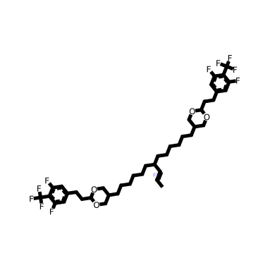 C/C=C/C(CCCCCCC1COC(CCc2cc(F)c(C(F)(F)F)c(F)c2)OC1)CCCCCCC1COC(CCc2cc(F)c(C(F)(F)F)c(F)c2)OC1